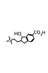 C[Si](C)(C)CCC1Cc2ccc(C(=O)O)cc2[C@H]1O